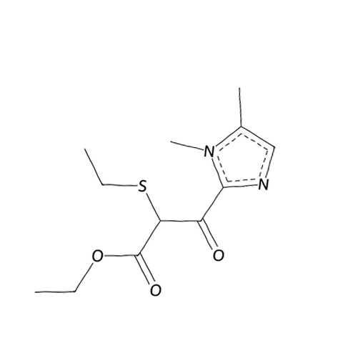 CCOC(=O)C(SCC)C(=O)c1ncc(C)n1C